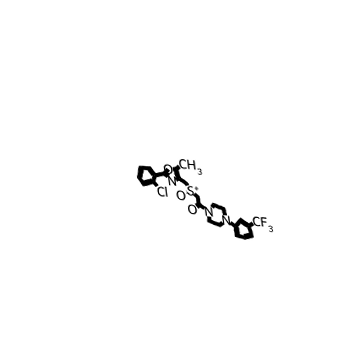 Cc1oc(-c2ccccc2Cl)nc1C[S+]([O-])CC(=O)N1CCN(c2cccc(C(F)(F)F)c2)CC1